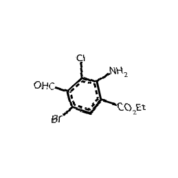 CCOC(=O)c1cc(Br)c(C=O)c(Cl)c1N